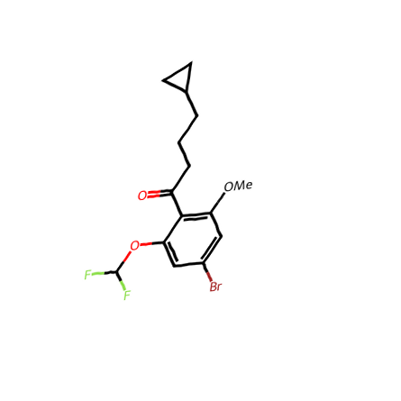 COc1cc(Br)cc(OC(F)F)c1C(=O)CCCC1CC1